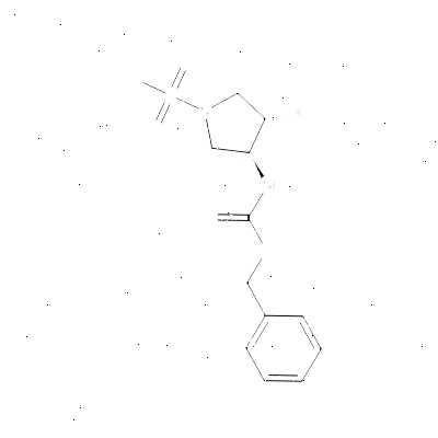 CS(=O)(=O)N1C[C@H](NC(=O)OCc2ccccc2)[C@@H](F)C1